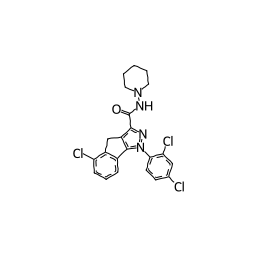 O=C(NN1CCCCC1)c1nn(-c2ccc(Cl)cc2Cl)c2c1Cc1c(Cl)cccc1-2